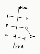 CCCCCCC(F)(F)C(F)(OO)C(F)(F)CCCCC